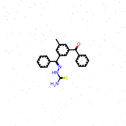 Cc1cc(C(=O)c2ccccc2)cc(C(=NNC(N)=S)c2ccccc2)c1